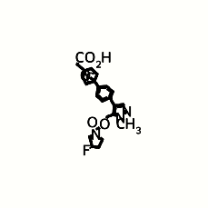 Cn1ncc(-c2ccc(C34CCC(CC(=O)O)(CC3)OC4)cc2)c1COC(=O)N1CC[C@H](F)C1